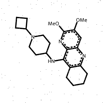 COc1cc2nc3c(c(NC4CCN(C5CCC5)CC4)c2nc1OC)CCCC3